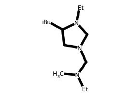 CCC(C)C1CN(CN(C)CC)CN1CC